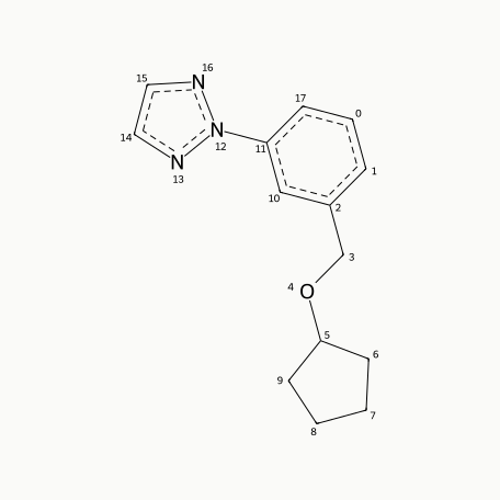 c1cc(COC2CCCC2)cc(-n2nccn2)c1